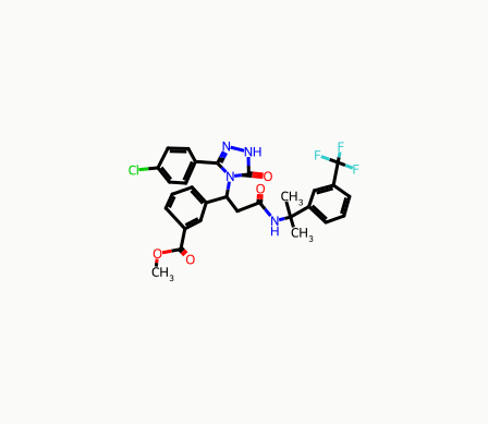 COC(=O)c1cccc(C(CC(=O)NC(C)(C)c2cccc(C(F)(F)F)c2)n2c(-c3ccc(Cl)cc3)n[nH]c2=O)c1